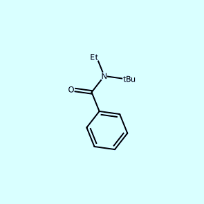 CCN(C(=O)c1ccccc1)C(C)(C)C